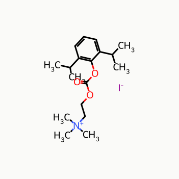 CC(C)c1cccc(C(C)C)c1OC(=O)OCC[N+](C)(C)C.[I-]